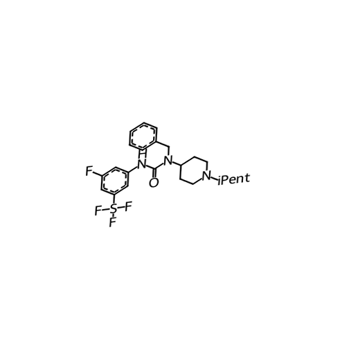 CCCC(C)N1CCC(N(Cc2ccccc2)C(=O)Nc2cc(F)cc(S(F)(F)F)c2)CC1